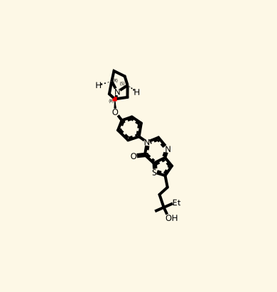 CCC(C)(O)CCc1cc2ncn(-c3ccc(O[C@H]4C[C@H]5CC[C@@H](C4)N5C)cc3)c(=O)c2s1